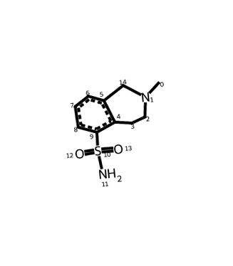 CN1CCc2c(cccc2S(N)(=O)=O)C1